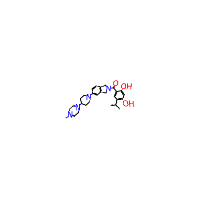 CC(C)c1cc(C(=O)N2Cc3ccc(N4CCC(N5CCN(C)CC5)CC4)cc3C2)c(O)cc1O